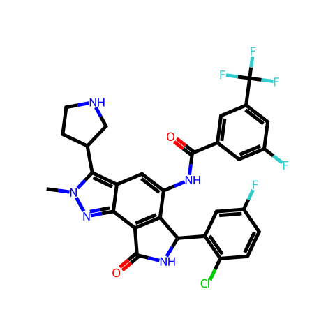 Cn1nc2c3c(c(NC(=O)c4cc(F)cc(C(F)(F)F)c4)cc2c1C1CCNC1)C(c1cc(F)ccc1Cl)NC3=O